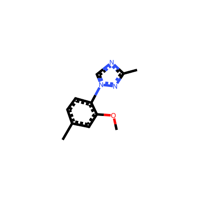 COc1cc(C)ccc1-n1cnc(C)n1